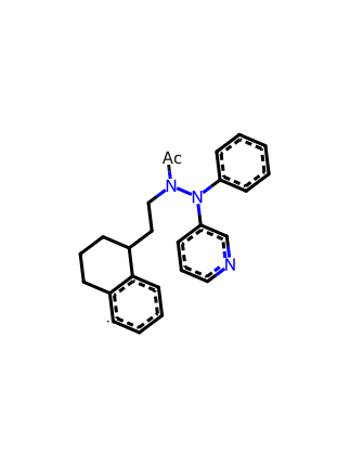 CC(=O)N(CCC1CCCc2[c]cccc21)N(c1ccccc1)c1cccnc1